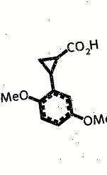 COc1ccc(OC)c(C2CC2C(=O)O)c1